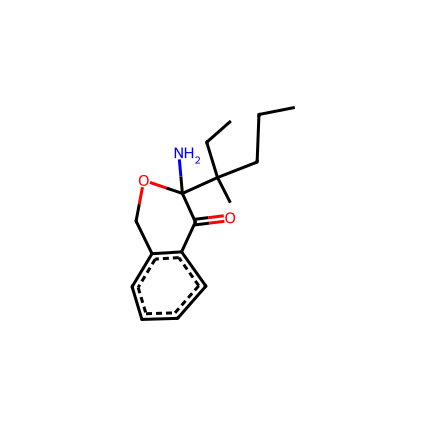 CCCC(C)(CC)C1(N)OCc2ccccc2C1=O